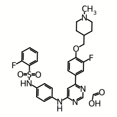 CN1CCC(COc2ccc(-c3cc(Nc4ccc(NS(=O)(=O)c5ccccc5F)cc4)ncn3)cc2F)CC1.O=CO